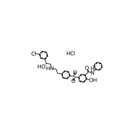 Cl.O=C(Nc1ccccc1)c1cc(S(=O)(=O)c2ccc(CCNC[C@@H](O)c3cccc(Cl)c3)cc2)ccc1O